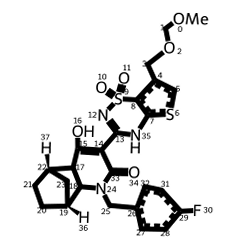 COCOCc1csc2c1S(=O)(=O)N=C(C1=C(O)C3C([C@@H]4CC[C@H]3C4)N(Cc3ccc(F)cc3)C1=O)N2